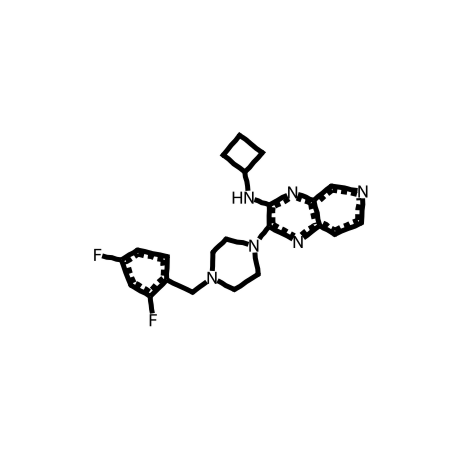 Fc1ccc(CN2CCN(c3nc4ccncc4nc3NC3CCC3)CC2)c(F)c1